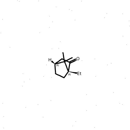 CC[C@]12CC[C@H](CC1=O)C2(C)C